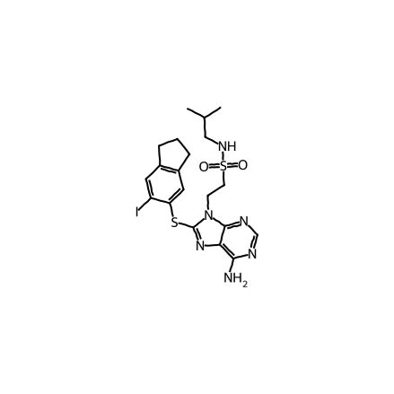 CC(C)CNS(=O)(=O)CCn1c(Sc2cc3c(cc2I)CCC3)nc2c(N)ncnc21